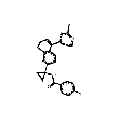 Cc1nccc(C2=CCCc3nc(C4(NC(=O)c5ccc(F)cc5)CC4)ccc32)n1